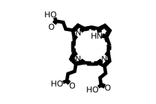 O=C(O)CCC1=Cc2cc3ccc(cc4nc(cc5[nH]c(cc1n2)cc5CCC(=O)O)C(CCC(=O)O)=C4)[nH]3